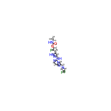 CC1(NC(=O)O[C@H]2CC[C@@H](c3cc(Nc4nccc5nc(CN6CC(F)(F)C6)cn45)n[nH]3)[C@H]2F)CC1